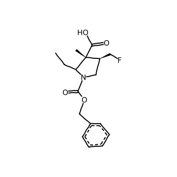 CCC1N(C(=O)OCc2ccccc2)C[C@H](CF)[C@@]1(C)C(=O)O